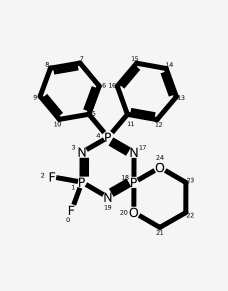 FP1(F)=NP(c2ccccc2)(c2ccccc2)=NP2(=N1)OCCCO2